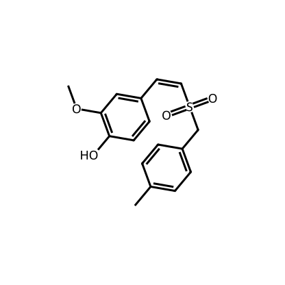 COc1cc(/C=C\S(=O)(=O)Cc2ccc(C)cc2)ccc1O